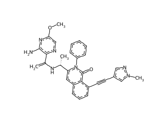 C=C(N[C@H](C)c1cc2cccc(C#Cc3cnn(C)c3)c2c(=O)n1-c1ccccc1)c1ncc(OC)nc1N